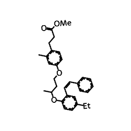 CCc1ccc(OC(C)CCOc2ccc(CCC(=O)OC)c(C)c2)c(C=Cc2ccccc2)c1